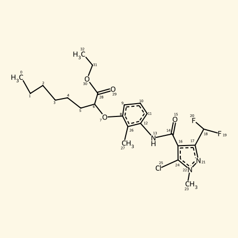 CCCCCCC(Oc1cccc(NC(=O)c2c(C(F)F)nn(C)c2Cl)c1C)C(=O)OCC